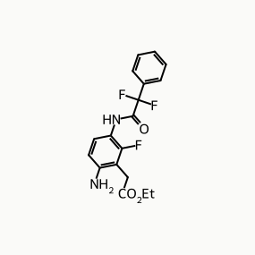 CCOC(=O)Cc1c(N)ccc(NC(=O)C(F)(F)c2ccccc2)c1F